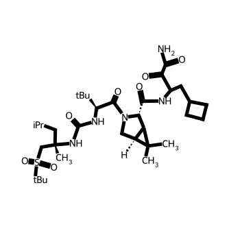 CC(C)C[C@@](C)(CS(=O)(=O)C(C)(C)C)NC(=O)N[C@H](C(=O)N1C[C@H]2C([C@H]1C(=O)NC(CC1CCC1)C(=O)C(N)=O)C2(C)C)C(C)(C)C